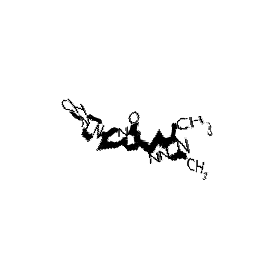 CCc1nc(C)cn2nc(C3=C\C(=O)N4C=C(N5CCN(CC)CC5)C=C\C4=C/C=C/3)cc12